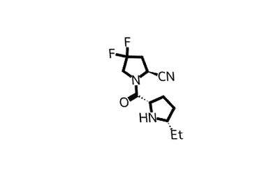 CC[C@H]1CC[C@@H](C(=O)N2CC(F)(F)C[C@H]2C#N)N1